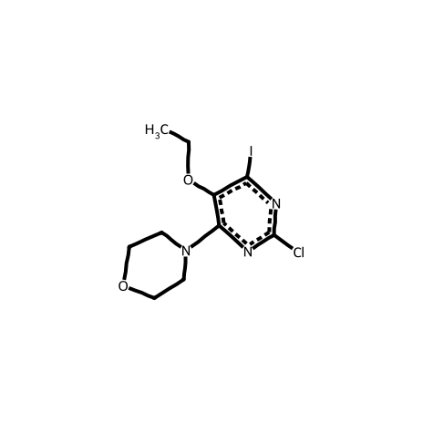 CCOc1c(I)nc(Cl)nc1N1CCOCC1